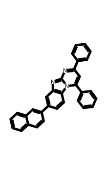 c1ccc(-c2cc(-c3ccccc3)n3c(n2)nc2cc(-c4ccc5ccccc5c4)ccc23)cc1